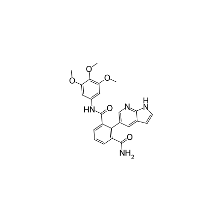 COc1cc(NC(=O)c2cccc(C(N)=O)c2-c2cnc3[nH]ccc3c2)cc(OC)c1OC